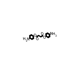 Nc1ccc(OC(=O)CCC(=O)Oc2ccc(N)cc2)cc1